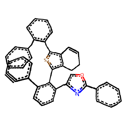 c1cccc(-c2cccc(-c3coc(-c4ccccc4)n3)c2-c2sc(-c3ccccc3-c3ccccc3)c3c2CCC=C3)c#1